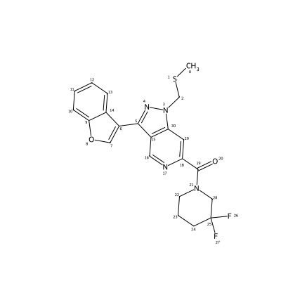 CSCn1nc(-c2coc3ccccc23)c2cnc(C(=O)N3CCCC(F)(F)C3)cc21